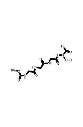 CCC(=O)N(C=O)OC(=O)CNC(=O)CNC(=O)CNC(=O)OC(C)(C)C